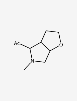 CC(=O)C1C2CCOC2CN1C